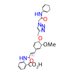 COC1C=C(/C=C/C(=O)Nc2ccccc2C(=O)O)C=CC1OCc1cn(CC(=O)NC2=CCCC=C2)nn1